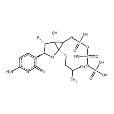 CC(C)CC[C@]12O[C@@H](n3ccc(N)nc3=O)[C@H](F)[C@@]1(O)C2OP(=O)(O)OP(=O)(O)OP(=O)(O)O